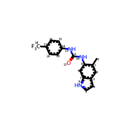 Cc1cc2cc[nH]c2cc1NC(=O)Nc1ccc(C(F)(F)F)cc1